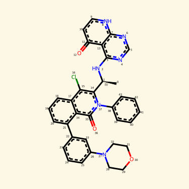 C[C@H](Nc1ncnc2[nH]ccc(=O)c12)c1c(Cl)c2cccc(-c3cccc(N4CCOCC4)c3)c2c(=O)n1-c1ccccc1